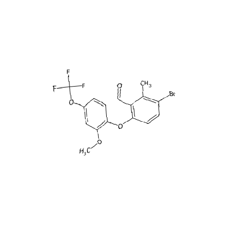 COc1cc(OC(F)(F)F)ccc1Oc1ccc(Br)c(C)c1C=O